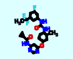 Cc1cc(Oc2cc(NC(=O)C3CC3)ncn2)ccc1NC(=O)Nc1cc(F)cc(C(C)(F)F)c1